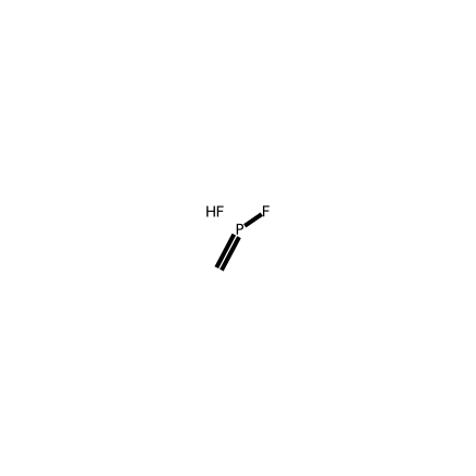 C=PF.F